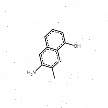 Cc1nc2c(O)cccc2cc1N